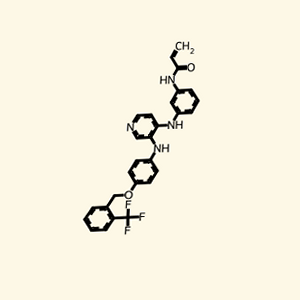 C=CC(=O)Nc1cccc(Nc2ccncc2Nc2ccc(OCc3ccccc3C(F)(F)F)cc2)c1